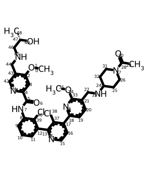 COc1cc(C(=O)Nc2cccc(-c3nccc(-c4ccc(CNC5CCN(C(C)=O)CC5)c(OC)n4)c3Cl)c2Cl)ncc1CNC[C@H](C)O